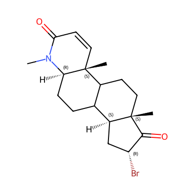 CN1C(=O)C=C[C@]2(C)C3CC[C@]4(C)C(=O)[C@H](Br)C[C@H]4C3CC[C@@H]12